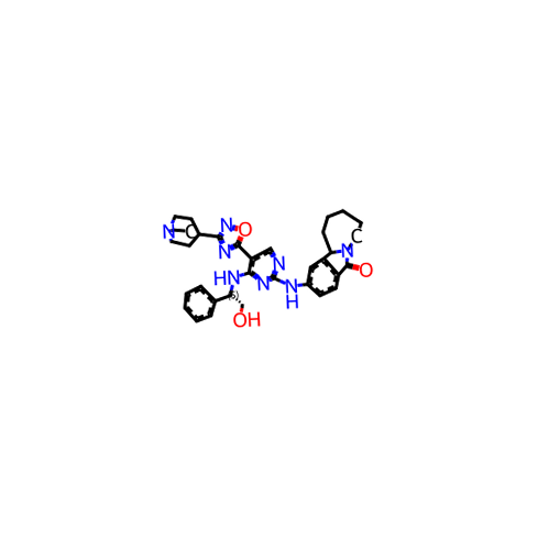 O=C1c2ccc(Nc3ncc(-c4nc(C56CCN(CC5)CC6)no4)c(N[C@H](CO)c4ccccc4)n3)cc2C2CCCCCN12